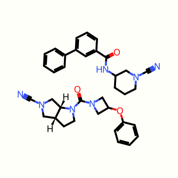 N#CN1CCCC(NC(=O)c2cccc(-c3ccccc3)c2)C1.N#CN1C[C@H]2CCN(C(=O)N3CC(Oc4ccccc4)C3)[C@H]2C1